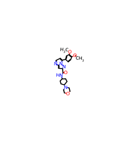 COc1ccc(-c2ccnc3cc(C(=O)NC4CCC(N5CCOCC5)CC4)nn23)cc1OC